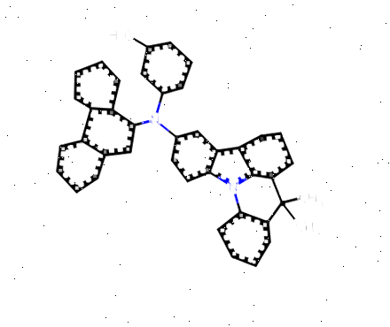 Cc1cccc(N(c2ccc3c(c2)c2cccc4c2n3-c2ccccc2C4(C)C)c2cc3ccccc3c3ccccc23)c1